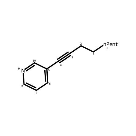 CCCCCCCC#Cc1cccnc1